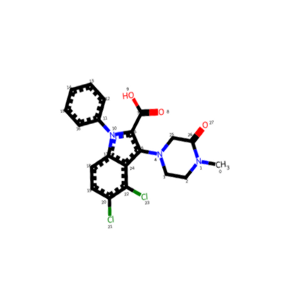 CN1CCN(c2c(C(=O)O)n(-c3ccccc3)c3ccc(Cl)c(Cl)c23)CC1=O